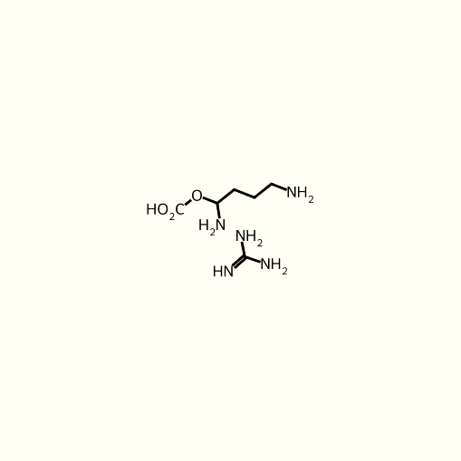 N=C(N)N.NCCCC(N)OC(=O)O